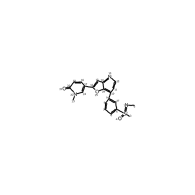 CN=S(C)(=O)c1cccc(-c2ccnc3cc(-c4ccc(=O)n(C)c4)oc23)c1